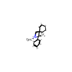 O=CN1CC2(CCCCC2)C1(c1ccccc1)C(F)(F)F